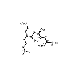 CCCCCCCCCCCSN(CCCN(C)C)C(CCCCCCCCC)CC(=O)OCC(CCCCCC)CCCCCCCC